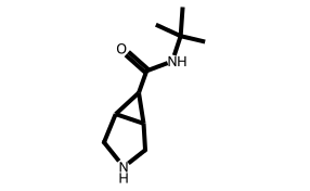 CC(C)(C)NC(=O)C1C2CNCC21